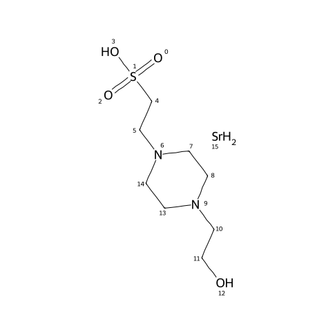 O=S(=O)(O)CCN1CCN(CCO)CC1.[SrH2]